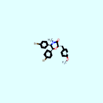 CN1C(=O)[C@H](Cc2ccc(OC(F)(F)F)cc2)O[C@@H](c2ccc(Br)cc2)[C@H]1c1ccc(Br)cc1